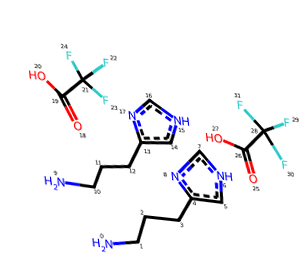 NCCCc1c[nH]cn1.NCCCc1c[nH]cn1.O=C(O)C(F)(F)F.O=C(O)C(F)(F)F